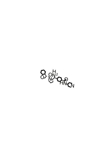 N[C@@H](c1ccc(C(=O)Nc2ccncc2)cc1)[C@H]1CCCN1C(=O)[C@@H]1COc2ccccc21